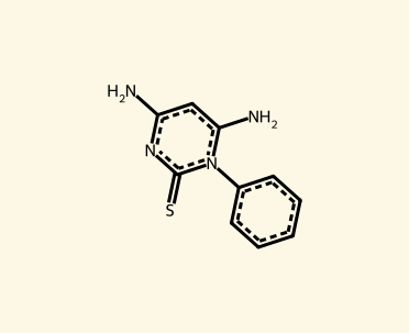 Nc1cc(N)n(-c2ccccc2)c(=S)n1